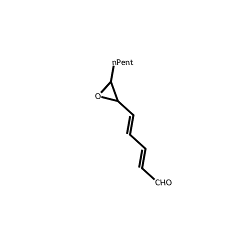 CCCCCC1OC1C=CC=CC=O